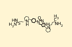 C[C@H](N)CCCN1CCCCC1c1cc2cn(-c3ccc([C@@H]4CCC[C@@H](CCSC(=N)N)N4)cc3)c(=O)nc2[nH]1